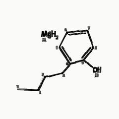 CCCCc1ccccc1O.[MgH2]